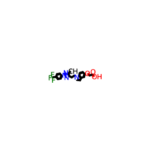 Cc1nn(-c2ccc(C(F)(F)F)cc2)nc1CCn1ccc2cc(OCC(=O)O)ccc21